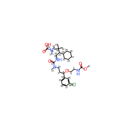 COC(=O)NCCOC(CCN(C)C(=O)N[C@H](CN(C)C(=O)O)C(C1CCCCC1)C(C)(C)C)c1cccc(Cl)c1